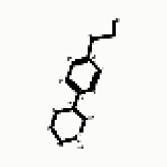 CCCc1ccc(C2CCCOC2)cc1